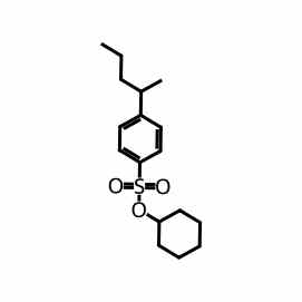 CCCC(C)c1ccc(S(=O)(=O)OC2CCCCC2)cc1